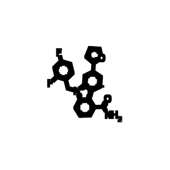 NC(=O)c1cccc2c1c1[c]cc(-c3ccco3)cc1n2Cc1ccc(F)cc1F